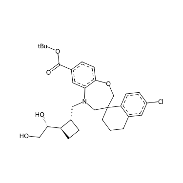 CC(C)(C)OC(=O)c1ccc2c(c1)N(C[C@@H]1CC[C@H]1[C@@H](O)CO)CC1(CCCc3cc(Cl)ccc31)CO2